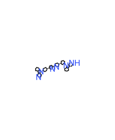 C1=Cc2c(n(-c3cccc(-c4ccc(-c5ccc(-c6ccc(-n7c8ccccc8c8cnccc87)cc6)cn5)nc4)c3)c3ccccc23)CN1